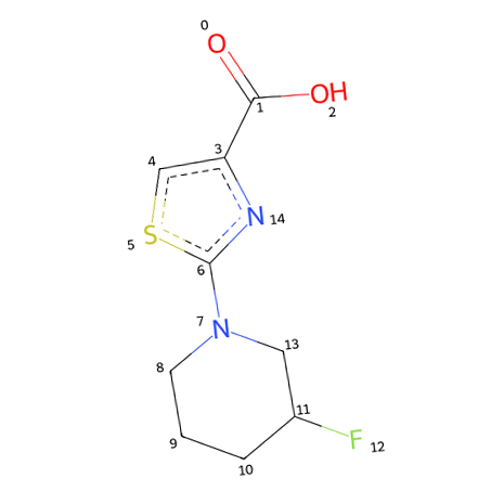 O=C(O)c1csc(N2CCCC(F)C2)n1